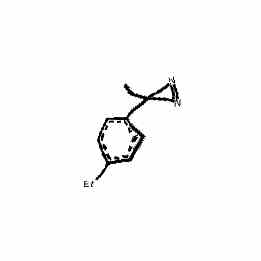 CCc1ccc(C2(C)N=N2)cc1